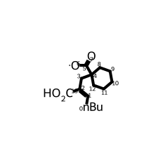 CCCCC=C(CC1(C([O])=O)CCCCC1)C(=O)O